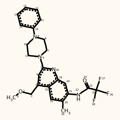 COCc1cc(N2CCN(c3ccccc3)CC2)nc2cc(NC(=O)C(F)(F)F)c(C)cc12